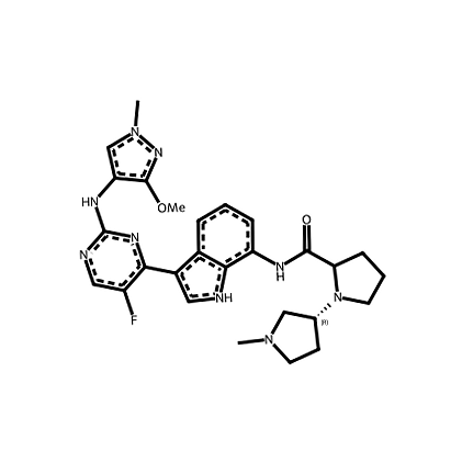 COc1nn(C)cc1Nc1ncc(F)c(-c2c[nH]c3c(NC(=O)C4CCCN4[C@@H]4CCN(C)C4)cccc23)n1